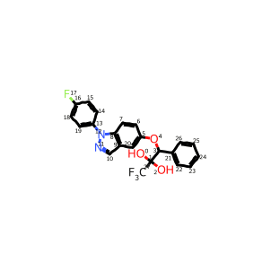 OC(O)(C(Oc1ccc2c(cnn2-c2ccc(F)cc2)c1)c1ccccc1)C(F)(F)F